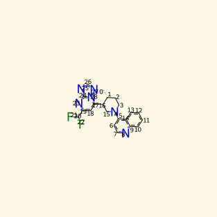 C[C@@H]1CCN(c2ccnc3ccccc23)C[C@H]1c1cc(C(F)F)nc2ncnn12